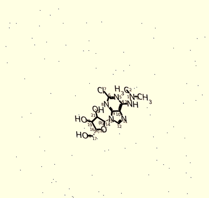 CN(C)Nc1nc(Cl)nc2c1ncn2[C@@H]1O[C@H](CO)C(O)C1O